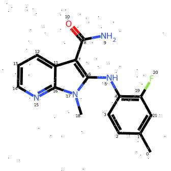 Cc1ccc(Nc2c(C(N)=O)c3cccnc3n2C)c(F)c1